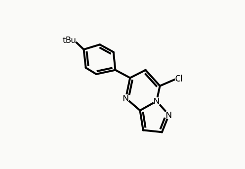 CC(C)(C)c1ccc(-c2cc(Cl)n3nccc3n2)cc1